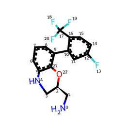 NC[C@H]1CNc2cccc(-c3cc(F)ccc3C(F)(F)F)c2O1